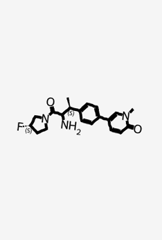 C[C@@H](c1ccc(-c2ccc(=O)n(C)c2)cc1)C(N)C(=O)N1CC[C@H](F)C1